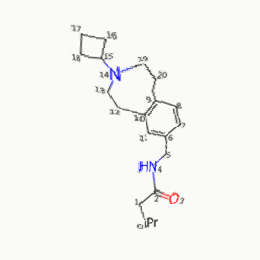 CC(C)CC(=O)NCc1ccc2c(c1)CCN(C1CCC1)CC2